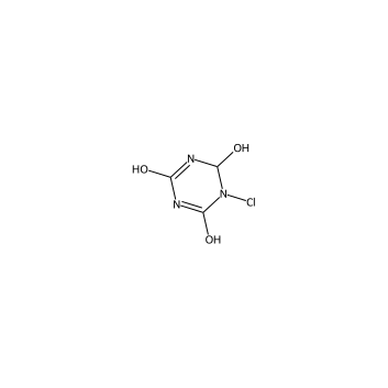 OC1=NC(O)N(Cl)C(O)=N1